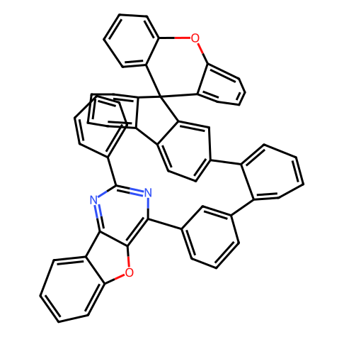 c1ccc(-c2nc(-c3cccc(-c4ccccc4-c4ccc5c(c4)C4(c6ccccc6Oc6ccccc64)c4ccccc4-5)c3)c3oc4ccccc4c3n2)cc1